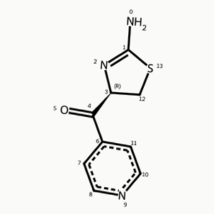 NC1=N[C@H](C(=O)c2ccncc2)CS1